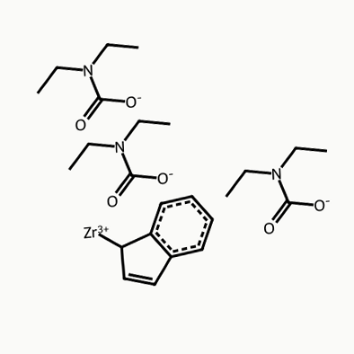 CCN(CC)C(=O)[O-].CCN(CC)C(=O)[O-].CCN(CC)C(=O)[O-].[Zr+3][CH]1C=Cc2ccccc21